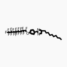 CCCCCCCCCCc1cnc(-c2ccc(OC(F)C(F)(F)C(F)(F)C(F)(F)C(F)(F)C(F)(F)C(F)(F)C(F)(F)F)cc2)nc1